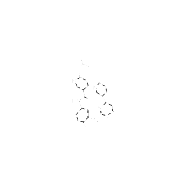 Cc1ccc(NC(=O)c2ccc(OC(C)C)nc2)cc1Nc1nccc(-c2cccnc2)n1